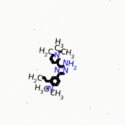 C=CCc1cc(-c2cnc(N)c(C3=CN(C(C)C)C(=C)C=C3)n2)ccc1N(C)C